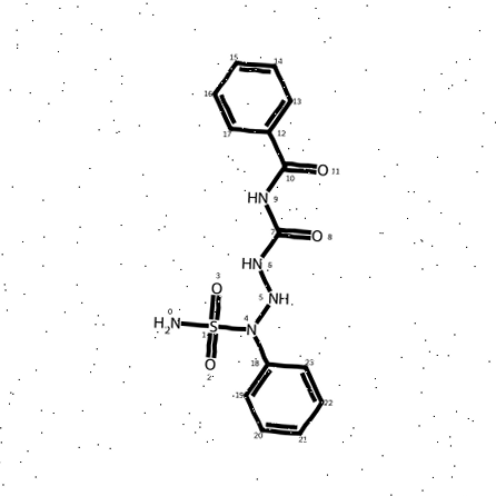 NS(=O)(=O)N(NNC(=O)NC(=O)c1ccccc1)c1ccccc1